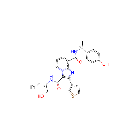 CC(C)C[C@@H](CO)NC(=O)c1c(-c2ccsc2)nc2c(C(=O)N[C@@H](C)c3ccc(O)cc3)cccn12